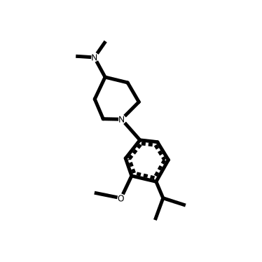 COc1cc(N2CCC(N(C)C)CC2)ccc1C(C)C